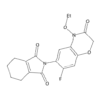 CCON1C(=O)COc2cc(F)c(N3C(=O)C4=C(CCCC4)C3=O)cc21